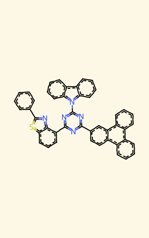 c1ccc(-c2nc3c(-c4nc(-c5ccc6c7ccccc7c7ccccc7c6c5)nc(-n5c6ccccc6c6ccccc65)n4)cccc3s2)cc1